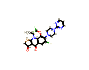 CCn1c2c(c(=O)c3cc(F)c(N4CCN(c5ncccn5)CC4)c(OC(F)F)c31)C(=O)CS2